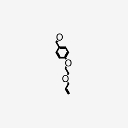 C=CCOCCOc1ccc(C=O)cc1